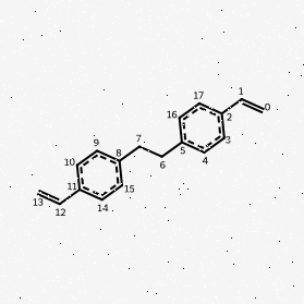 C=Cc1ccc(CCc2ccc(C=C)cc2)cc1